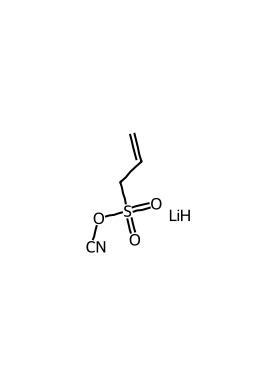 C=CCS(=O)(=O)OC#N.[LiH]